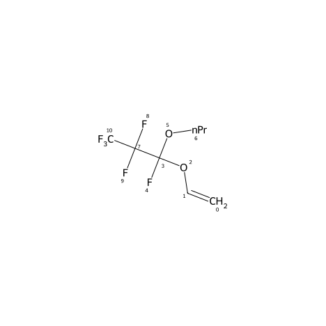 C=COC(F)(OCCC)C(F)(F)C(F)(F)F